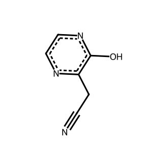 N#CCc1nccnc1O